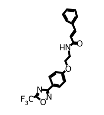 O=C(/C=C/c1ccccc1)NCCOc1ccc(-c2noc(C(F)(F)F)n2)cc1